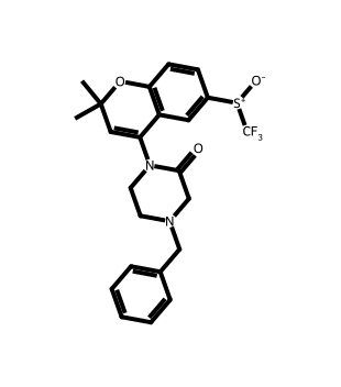 CC1(C)C=C(N2CCN(Cc3ccccc3)CC2=O)c2cc([S+]([O-])C(F)(F)F)ccc2O1